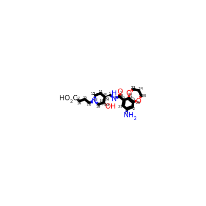 Nc1cc2c(c(C(=O)NC[C@@H]3CCN(CCCC(=O)O)C[C@H]3O)c1)OCCCO2